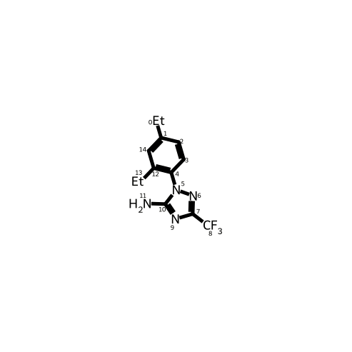 CCc1ccc(-n2nc(C(F)(F)F)nc2N)c(CC)c1